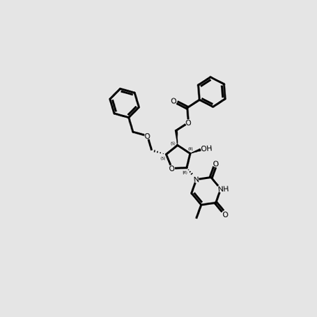 Cc1cn([C@@H]2O[C@H](COCc3ccccc3)[C@@H](COC(=O)c3ccccc3)[C@H]2O)c(=O)[nH]c1=O